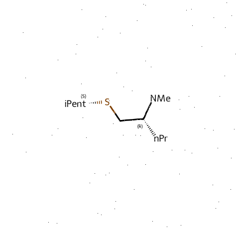 CCC[C@H](CS[C@@H](C)CCC)NC